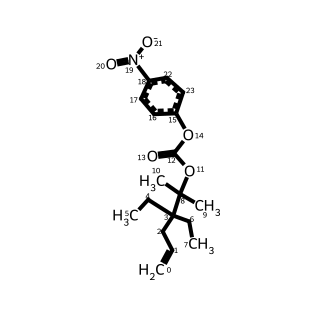 C=CCC(CC)(CC)C(C)(C)OC(=O)Oc1ccc([N+](=O)[O-])cc1